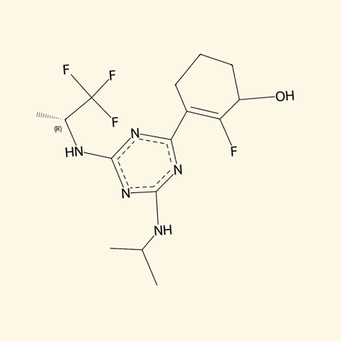 CC(C)Nc1nc(N[C@H](C)C(F)(F)F)nc(C2=C(F)C(O)CCC2)n1